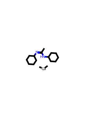 CC(=NC1CCCCC1)NC1CCCCC1.[CH3][Ga][CH3]